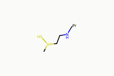 CC(C)NCC[SH](C)S